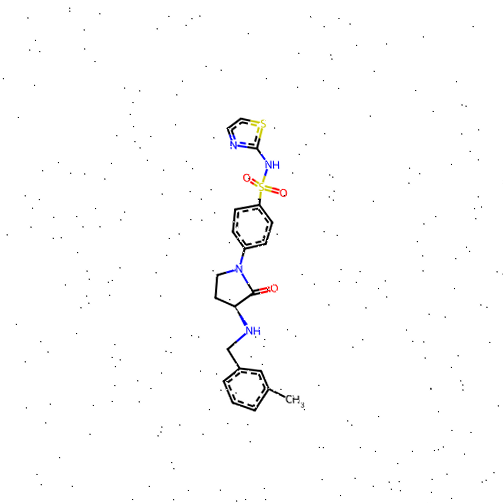 Cc1cccc(CN[C@H]2CCN(c3ccc(S(=O)(=O)Nc4nccs4)cc3)C2=O)c1